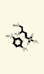 COCC(N)/C=C/S(C)(=O)=O.Cc1ccc(S(=O)(=O)O)cc1